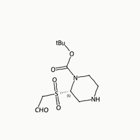 CC(C)(C)OC(=O)N1CCNC[C@@H]1S(=O)(=O)CC=O